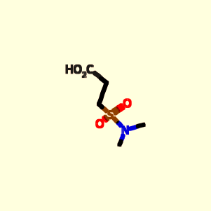 CN(C)S(=O)(=O)CCC(=O)O